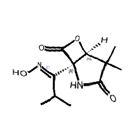 CC(C)/C(=N\O)[C@@]12NC(=O)C(C)(C)[C@@H]1OC2=O